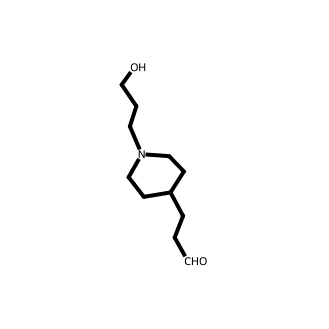 O=CCCC1CCN(CCCO)CC1